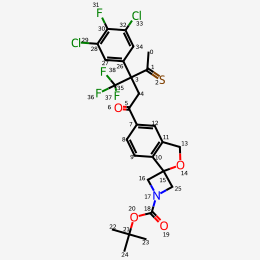 CC(=S)C(CC(=O)c1ccc2c(c1)COC21CN(C(=O)OC(C)(C)C)C1)(c1cc(Cl)c(F)c(Cl)c1)C(F)(F)F